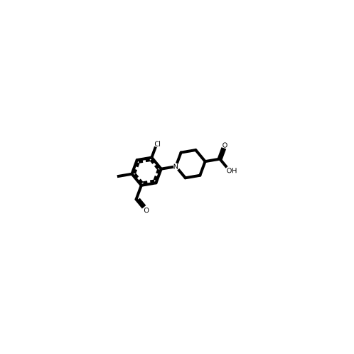 Cc1cc(Cl)c(N2CCC(C(=O)O)CC2)cc1C=O